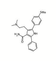 CSc1ccc(-c2[nH]c(-c3ccccc3)c(C(N)=O)c2CCN(C)C)cc1